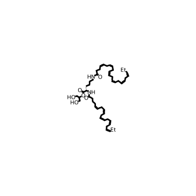 CC/C=C\C/C=C\C/C=C\C/C=C\C/C=C\C/C=C\CCC(=O)NCCCC[C@H](NC(=O)CCC/C=C\C/C=C\C/C=C\C/C=C\C/C=C\CC)C(=O)OC(CO)CO